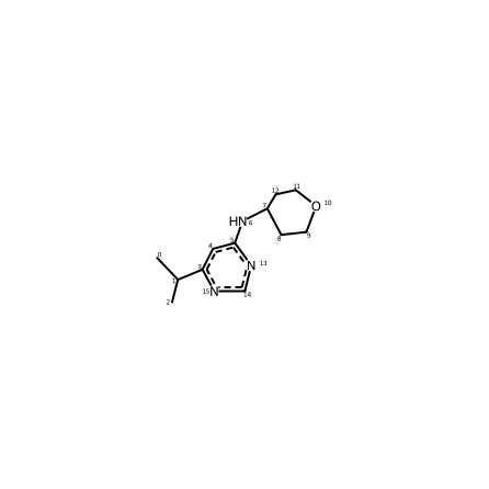 CC(C)c1cc(NC2CCOCC2)ncn1